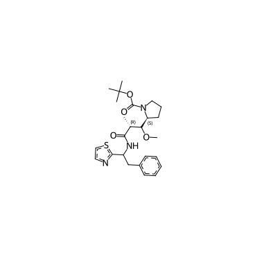 COC([C@@H](C)C(=O)NC(Cc1ccccc1)c1nccs1)[C@@H]1CCCN1C(=O)OC(C)(C)C